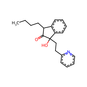 CCCCC1C(=O)C(O)(CCc2ccccn2)c2ccccc21